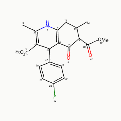 CCOC(=O)C1=C(C)NC2=C(C(=O)C(C(=O)OC)C(C)C2)C1c1ccc(F)cc1